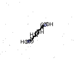 O=C(/C=N/O)NCCCN1CCN(CCCNC(=O)/C=N/O)CC1